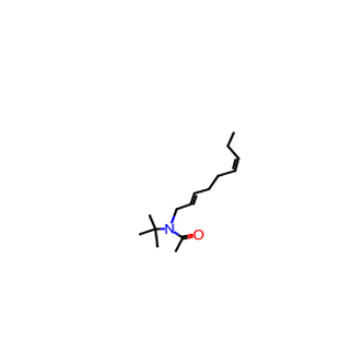 CC/C=C\CC/C=C/CN(C(C)=O)C(C)(C)C